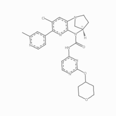 Cc1cc(-c2nc3c(cc2Cl)N2CC[C@@H](C2)N3C(=O)Nc2ccnc(OC3CCOCC3)n2)ccn1